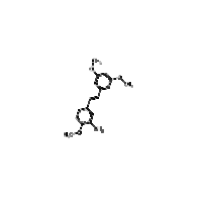 COc1cc(C=Cc2ccc(OC)c(N)c2)cc(OC)c1